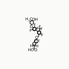 CC1(O)CCC(Oc2c(F)cc(-c3cc(COc4cc5c(cn4)[C@@H]4C(C(=O)O)[C@@H]4C5)c(F)cc3C(F)(F)F)cc2F)CC1